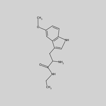 CCNC(=O)C(N)Cc1c[nH]c2ccc(OC)cc12